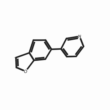 [c]1coc2cc(-c3cccnc3)ccc12